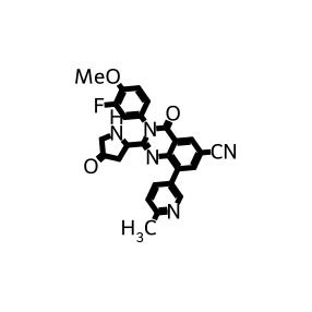 COc1ccc(-n2c(C3CC(=O)CN3)nc3c(-c4ccc(C)nc4)cc(C#N)cc3c2=O)cc1F